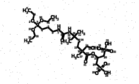 CCO[Si](CCCNC(=O)NC(C)(C)SCC(C)(CO)C(=O)OC(CS(=O)(=O)O)CS(=O)(=O)O)(OCC)OCC